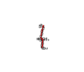 CC(C)(C)CCOCCOCCOCCOCCN(CC(C)(C)NCCOCCOCCOCCOCC(C)(C)C)C(C)(C)C